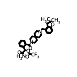 CC1(C)Cc2c(CN3CCC4(CC3)CCN(C(=O)c3ccccc3C(OC(=O)C(F)(F)F)C(N)=O)CC4)cccc2O1